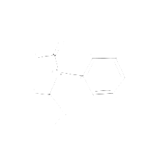 CSC(C)N(C(C)=O)c1ccccc1